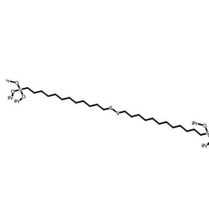 CC(C)O[Si](CCCCCCCCCCCCSSCCCCCCCCCCCC[Si](OC(C)C)(OC(C)C)OC(C)C)(OC(C)C)OC(C)C